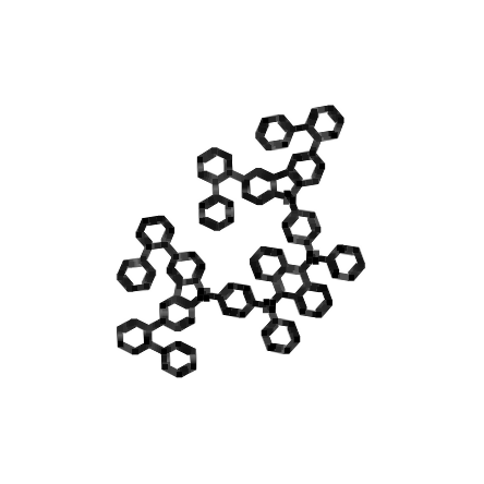 C1=CC(c2ccc3c(c2)c2cc(-c4ccccc4-c4ccccc4)ccc2n3-c2ccc(N(c3ccccc3)c3c4ccccc4c(N(c4ccccc4)c4ccc(-n5c6ccc(-c7ccccc7-c7ccccc7)cc6c6cc(-c7ccccc7-c7ccccc7)ccc65)cc4)c4ccccc34)cc2)=C(c2ccccc2)CC1